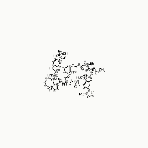 Cc1ncsc1-c1ccc([C@H](C)NC(=O)[C@@H]2C[C@@H](C)CN2C(=O)[C@@H](NC(=O)CCCc2cccc(OC[C@H](CCC(N)=O)NC(=O)[C@@H]3CC[C@@H]4CCCC[C@H](NC(=O)c5cc6cc(C(=O)P(=O)(O)O)ccc6[nH]5)C(=O)N43)c2F)C(C)(C)C)cc1